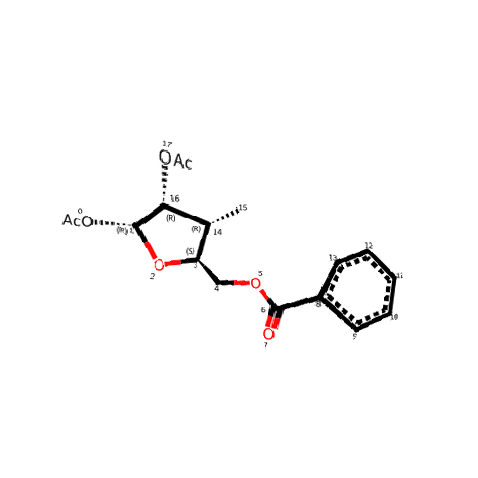 CC(=O)O[C@H]1O[C@H](COC(=O)c2ccccc2)[C@@H](C)[C@H]1OC(C)=O